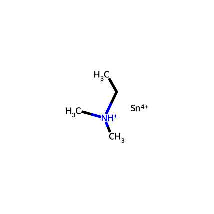 CC[NH+](C)C.[Sn+4]